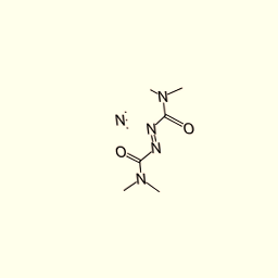 CN(C)C(=O)N=NC(=O)N(C)C.[N]